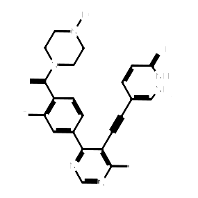 C=C(N)/C=C\C(C#Cc1c(CC)ncnc1-c1ccc(C(=O)N2CCN(CC)CC2)c(F)c1)=C/N